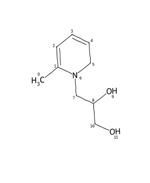 CC1=CC=CCN1CC(O)CO